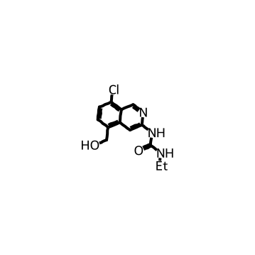 CCNC(=O)Nc1cc2c(CO)ccc(Cl)c2cn1